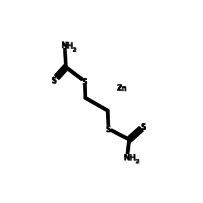 NC(=S)SCCSC(N)=S.[Zn]